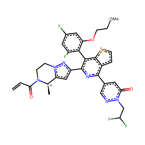 C=CC(=O)N1CCn2nc(-c3nc(-c4cnn(CC(F)F)c(=O)c4)c4ccsc4c3-c3c(F)cc(F)cc3OCCOC)cc2[C@H]1C